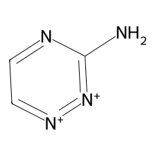 NC1=[N+]=[N+]=CC=N1